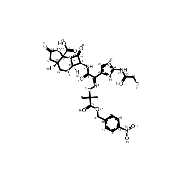 CC(C)(O/N=C(\C(=O)N[C@@H]1C(=O)N2[C@@H]1SC[C@@H]1CC(=O)O[C@@]12C(=O)O)c1csc(NC(=O)CCl)n1)C(=O)OCc1ccc([N+](=O)[O-])cc1